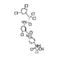 N#CC1(C(=O)Nc2ccc(NC(=O)c3cc(NC(=O)[C@@H]4[C@@H](c5cc(Cl)cc(Cl)c5)C4(Cl)Cl)ccc3Cl)cc2)CC1